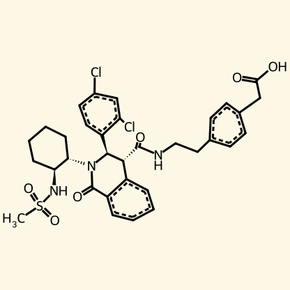 CS(=O)(=O)N[C@H]1CCCC[C@@H]1N1C(=O)c2ccccc2[C@@H](C(=O)NCCc2ccc(CC(=O)O)cc2)[C@@H]1c1ccc(Cl)cc1Cl